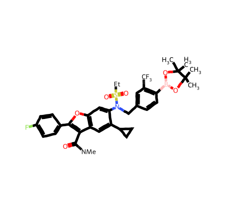 CCS(=O)(=O)N(Cc1ccc(B2OC(C)(C)C(C)(C)O2)c(C(F)(F)F)c1)c1cc2oc(-c3ccc(F)cc3)c(C(=O)NC)c2cc1C1CC1